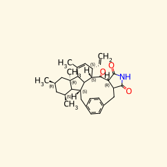 C=C[C@H]1C=C(C)C2C3[C@H](Cc4ccc(cc4)CC4C(=O)NC(=O)[C@H]4C(=O)[C@H]31)C1[C@@H](C)C[C@@H](C)C[C@@]21C